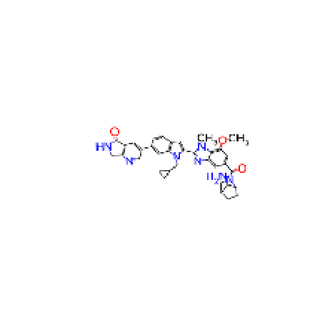 COc1cc(C(=O)N2CC3CCC2C3N)cc2nc(-c3cc4ccc(-c5cnc6c(c5)C(=O)NC6)cc4n3CC3CC3)n(C)c12